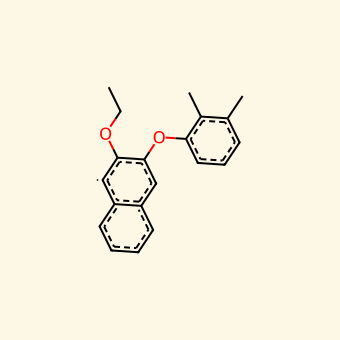 CCOc1[c]c2ccccc2cc1Oc1cccc(C)c1C